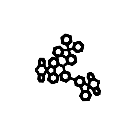 c1ccc(C2(c3ccccc3)c3ccccc3-c3c(N(c4cccc(-c5ccc6c(c5)-c5ccccc5C65c6ccccc6Oc6ccccc65)c4)c4cccc5c4-c4ccccc4C54c5ccccc5Oc5ccccc54)cccc32)cc1